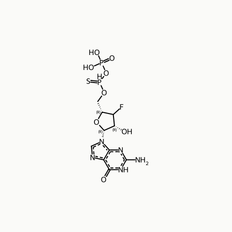 Nc1nc2c(ncn2[C@@H]2O[C@H](CO[PH](=S)OP(=O)(O)O)C(F)[C@@H]2O)c(=O)[nH]1